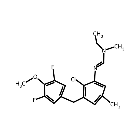 CCN(C)C=Nc1cc(C)cc(Cc2cc(F)c(OC)c(F)c2)c1Cl